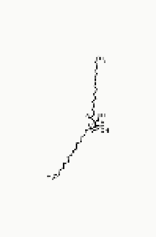 CCCCCCCCCCCCCCCC(=O)OC(C(=O)O)(C(=O)CCCCCCCCCCCCCCC)C(O)C(=O)O